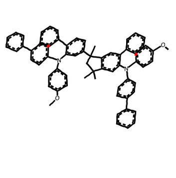 COc1ccc(N(c2ccc(-c3ccccc3)cc2)c2cc(C3(C)CC(C)(C)c4cc(N(c5ccc(OC)cc5)c5ccc(-c6ccccc6)cc5)c(-c5ccccc5)cc43)ccc2-c2ccccc2)cc1